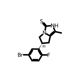 Cc1[nH]c(=S)n2c1C[C@H](c1cc(Br)ccc1F)C2